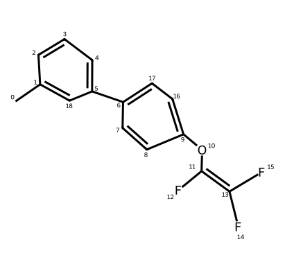 Cc1cccc(-c2ccc(OC(F)=C(F)F)cc2)c1